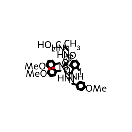 COc1ccc(CN2NN=C(c3c(I)ccc(S(=O)(=O)NC[C@H](C)NC(=O)O)c3S(=O)(=O)N(Cc3ccc(OC)cc3)Cc3ccc(OC)cc3)N2)cc1